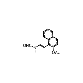 CC(=O)Oc1ccc2ccccc2c1C=CNC=O